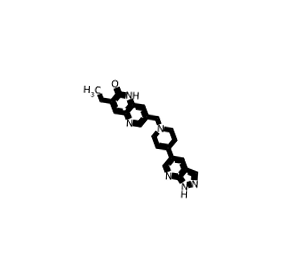 CCc1cc2ncc(CN3CC=C(c4cnc5[nH]ncc5c4)CC3)cc2[nH]c1=O